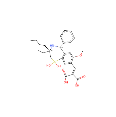 CCCC[C@]1(CC)CS(O)(O)c2cc(C=C(C(=O)O)C(=O)O)c(OC)cc2[C@@H](c2ccccc2)N1